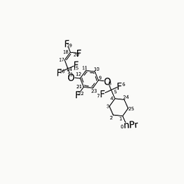 CCCC1CCC(C(F)(F)Oc2ccc(OC(F)(F)C=C(F)F)c(F)c2)CC1